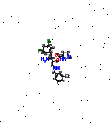 CCc1cccc(CNCC(OC(=O)c2ccn[nH]2)C(N)Cc2cc(F)cc(F)c2)c1